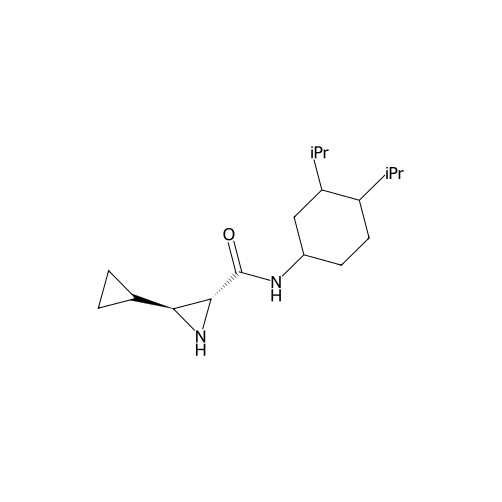 CC(C)C1CCC(NC(=O)[C@@H]2N[C@H]2C2CC2)CC1C(C)C